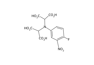 O=C(O)C(C(=O)O)N(c1ccc(F)c([N+](=O)[O-])c1)C(C(=O)O)C(=O)O